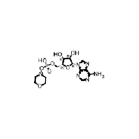 Nc1ncnc2c1ncn2[C@@H]1O[C@H](COP(=O)(O)ON2CCOCC2)[C@@H](O)[C@H]1O